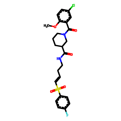 COc1ccc(Cl)cc1C(=O)N1CCCC(C(=O)NCC/C=C/S(=O)(=O)c2ccc(F)cc2)C1